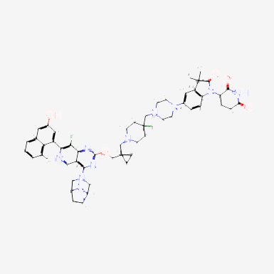 CCc1cccc2cc(O)cc(-c3ncc4c(N5CC6CCC(C5)N6)nc(OCC5(CN6CCC(F)(CN7CCN(c8ccc9c(c8)C(C)(C)C(=O)N9C8CCC(=O)NC8=O)CC7)CC6)CC5)nc4c3F)c12